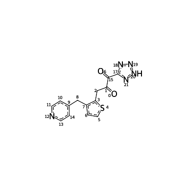 O=C(Cc1sccc1Cc1ccncc1)C(=O)c1nn[nH]n1